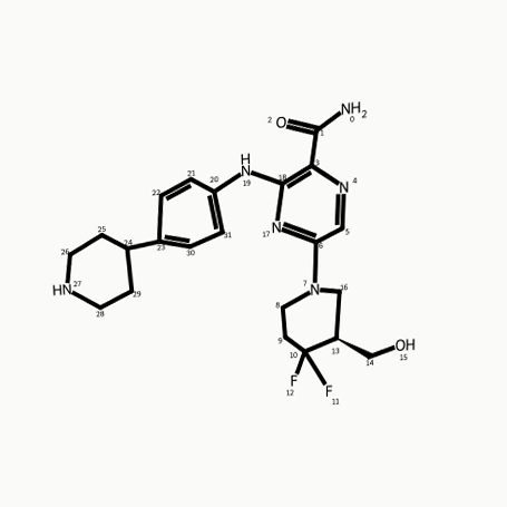 NC(=O)c1ncc(N2CCC(F)(F)[C@H](CO)C2)nc1Nc1ccc(C2CCNCC2)cc1